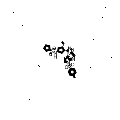 CC[C@H]1C[C@@H](NS(=O)(=O)C2CCCC2)C[C@H]1c1nnc2cnc3c(ccn3S(=O)(=O)c3ccc(C)cc3)n12